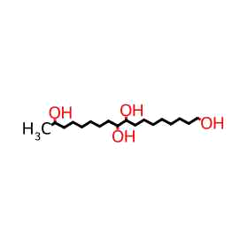 CC(O)CCCCCCC(O)C(O)CCCCCCCCO